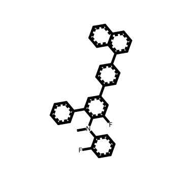 CN(c1ccccc1F)c1c(F)cc(-c2ccc(-c3cccc4ccccc34)cc2)cc1-c1ccccc1